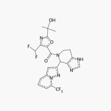 CC(C)(O)c1nc(C(F)F)c(C(=O)N2CCc3[nH]cnc3C2c2cc3cccc(C(F)(F)F)n3n2)o1